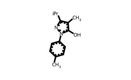 Cc1ccc(-n2nc(C(C)C)c(C)c2O)cc1